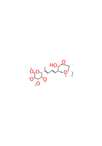 CC[C@H](OC)[C@@H](C)[C@H]1O[C@@H]1[C@@H](O)[C@@H](C)/C=C/C=C(\C)[C@H]1O[C@H](OC)[C@H](OC)[C@@H](OC)[C@@H]1OC